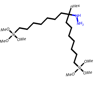 CCCCCCC(CCCCCCC[Si](OC)(OC)OC)(CCCCCCC[Si](OC)(OC)OC)NN